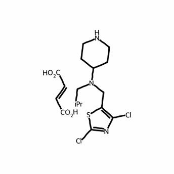 CC(C)CN(Cc1sc(Cl)nc1Cl)C1CCNCC1.O=C(O)/C=C/C(=O)O